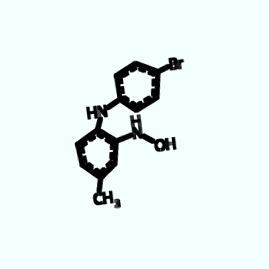 Cc1ccc(Nc2ccc(Br)cc2)c(NO)c1